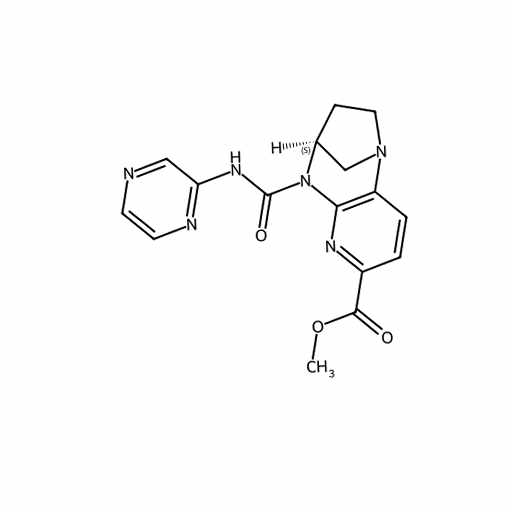 COC(=O)c1ccc2c(n1)N(C(=O)Nc1cnccn1)[C@H]1CCN2C1